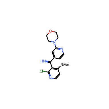 CNc1ccnc(Cl)c1C(=N)c1ccnc(N2CCOCC2)c1